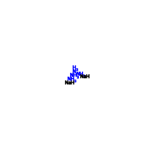 N.N.N.N.[NaH].[NaH]